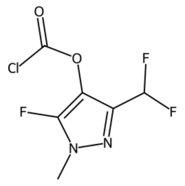 Cn1nc(C(F)F)c(OC(=O)Cl)c1F